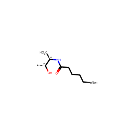 CCCCCCCCCCCCCC(=O)N[C@H](C(=O)O)[C@@H](C)O